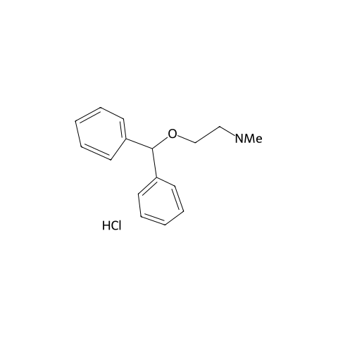 CNCCOC(c1ccccc1)c1ccccc1.Cl